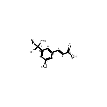 O=C(O)C=Cc1cc(Cl)cc(C(F)(F)F)c1